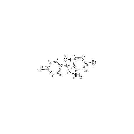 NCC(O)(c1ccc(Cl)cc1)c1ccc(Br)cc1